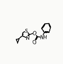 O=C(Nc1ccccc1)Oc1nc(C2CC2)cs1